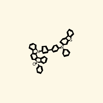 O=P1(c2ccccc2)c2ccccc2-c2c1ccc1c3ccccc3n(-c3ccc(-c4ccc(N(c5ccccc5)c5ccc6c(c5)sc5ccccc56)cc4)cc3)c21